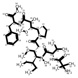 CCC(CC)[C@@H]([C@@H](CC(=O)N1CCC[C@H]1[C@H](OC)[C@@H](C)C(=O)N[C@@H](Cc1ccccc1)C(=O)OC)OC)N(C)C(=O)[C@@H](NC(=O)C(C)(C)N)C(C)C